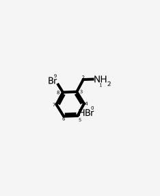 Br.NCc1ccccc1Br